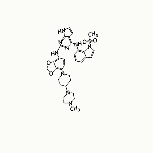 CN1CCN(C2CCN(c3ccc(Nc4nc(Nc5cccc6ccn(S(C)(=O)=O)c56)c5cc[nH]c5n4)c4c3OCO4)CC2)CC1